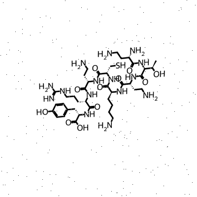 C[C@@H](O)[C@H](NC(=O)[C@@H](N)CCN)C(=O)N[C@H](CCN)C(=O)N[C@@H](CCCCN)C(=O)N[C@@H](CS)C(=O)N[C@@H](CCN)C(=O)N[C@@H](CCCNC(=N)N)C(=O)N[C@@H](Cc1ccc(O)cc1)C(=O)O